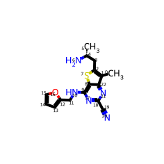 Cc1c(C[C@@H](C)N)sc2c(NCc3ccco3)nc(C#N)nc12